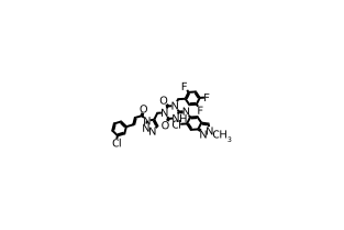 Cn1cc2cc(/N=c3\[nH]c(=O)n(Cc4cnnn4C(=O)/C=C/c4cccc(Cl)c4)c(=O)n3Cc3cc(F)c(F)cc3F)c(Cl)cc2n1